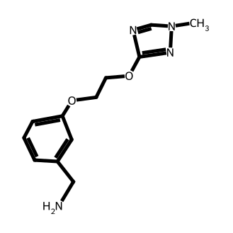 Cn1cnc(OCCOc2cccc(CN)c2)n1